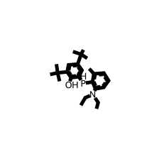 CCN(CC)c1cccc(C)c1Pc1cc(C(C)(C)C)cc(C(C)(C)C)c1O